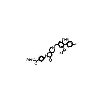 CCOc1cc(CN2CCC3(CC2)CC(=O)N(c2ccc(C(=O)OC)cc2)C3)cc(OCC)c1-c1ccc(F)cc1